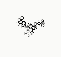 CC[C@@](C)(N)c1cnc(O[C@@H]2C[C@H](S(C)(=O)=O)[C@H]2C)c2cnc(Nc3ccc4c(n3)[C@@H](C)[C@H](C)OC4=O)cc12